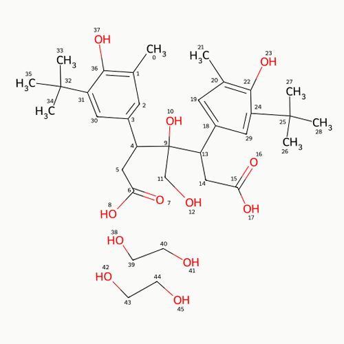 Cc1cc(C(CC(=O)O)C(O)(CO)C(CC(=O)O)c2cc(C)c(O)c(C(C)(C)C)c2)cc(C(C)(C)C)c1O.OCCO.OCCO